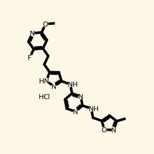 COc1cc(CCc2cc(Nc3ccnc(NCc4cc(C)no4)n3)n[nH]2)c(F)cn1.Cl